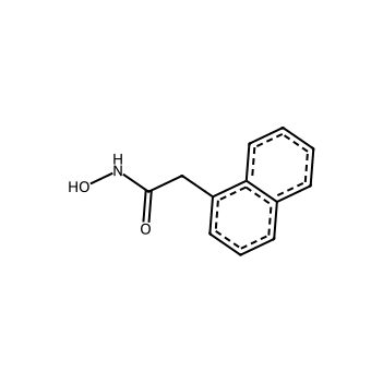 O=C(Cc1cccc2ccccc12)NO